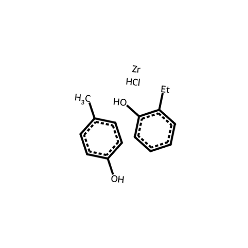 CCc1ccccc1O.Cc1ccc(O)cc1.Cl.[Zr]